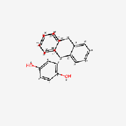 Oc1ccc(O)cc1.c1ccc2c(c1)C1c3ccccc3C2c2ccccc21